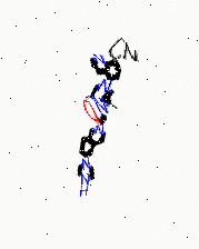 C[C@@H]1CN(c2ccc(C#N)c3ncccc23)C[C@H](C)N1CC(=O)N1CCc2cc(N3CCNCC3)ccc2C1